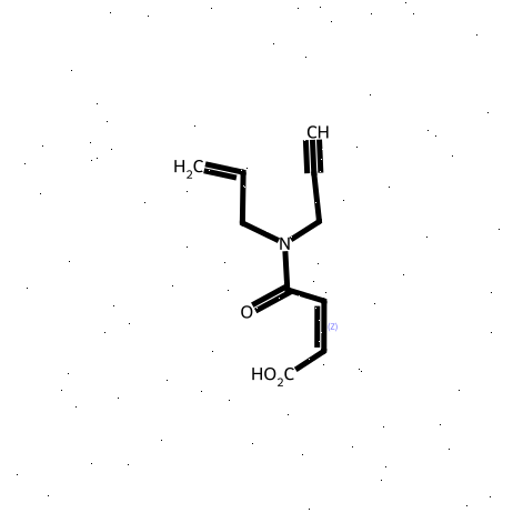 C#CCN(CC=C)C(=O)/C=C\C(=O)O